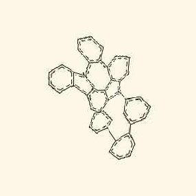 c1ccc(-c2ccccc2-c2cccc(-n3c4cccc5c6ccccc6n6c7ccccc7c7ccc3c(c54)c76)c2)cc1